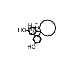 CC1(C)CCCCCCCCCCC1(c1ccc(O)cc1)c1ccc(O)cc1